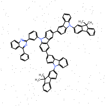 CC1(C)c2ccccc2-c2ccc(-n3c4ccccc4c4cc(-c5ccc6c(c5)c5cc(-c7ccc8c(c7)c7ccccc7n8-c7ccc8c(c7)C(C)(C)c7ccccc7-8)ccc5n6-c5cccc(-c6nc(-c7ccccc7)c7ccccc7n6)c5)ccc43)cc21